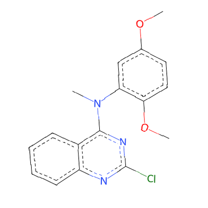 COc1ccc(OC)c(N(C)c2nc(Cl)nc3ccccc23)c1